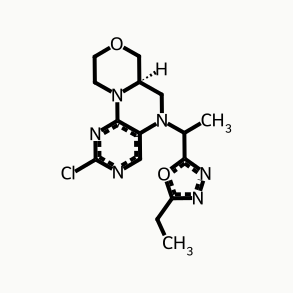 CCc1nnc(C(C)N2C[C@@H]3COCCN3c3nc(Cl)ncc32)o1